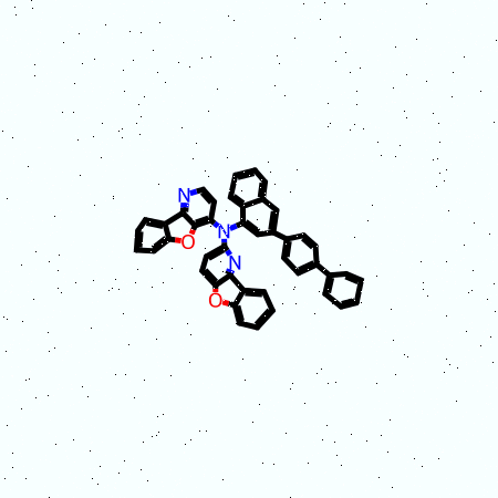 c1ccc(-c2ccc(-c3cc(N(c4ccc5oc6ccccc6c5n4)c4ccnc5c4oc4ccccc45)c4ccccc4c3)cc2)cc1